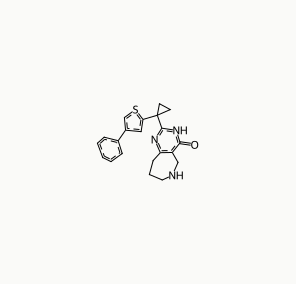 O=c1[nH]c(C2(c3cc(-c4ccccc4)cs3)CC2)nc2c1CNCCC2